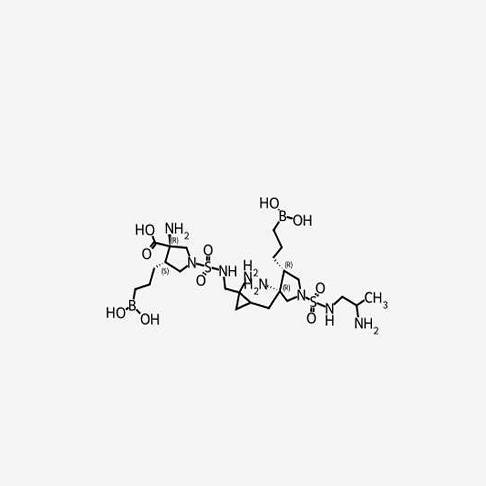 CC(N)CNS(=O)(=O)N1C[C@@H](CCCB(O)O)[C@](N)(CC2CC2(N)CNS(=O)(=O)N2C[C@H](CCCB(O)O)[C@](N)(C(=O)O)C2)C1